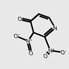 O=C1C=CN=C([N+](=O)[O-])C1[N+](=O)[O-]